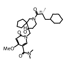 COc1cc(=O)n(CC2(O)CCN(C(=O)[C@H](C)CC3CCCCC3)CC23CCCC3)cc1C(=O)N(C)C